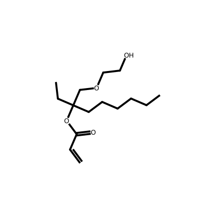 C=CC(=O)OC(CC)(CCCCCC)COCCO